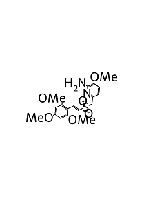 COc1cc(OC)c(C=CS(=O)(=O)Cc2ccc(OC)c(N)n2)c(OC)c1